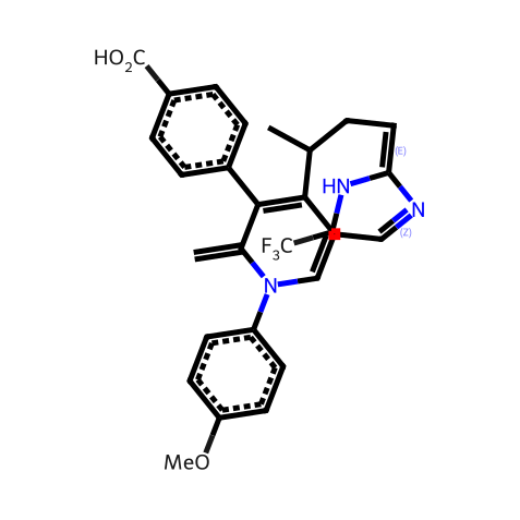 C=C1C(c2ccc(C(=O)O)cc2)=C2C(=CN1c1ccc(OC)cc1)/C=N\C(NCC(F)(F)F)=C\CC2C